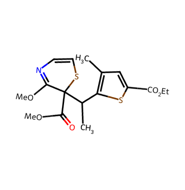 CCOC(=O)c1cc(C)c(C(C)C2(C(=O)OC)SC=CN=C2OC)s1